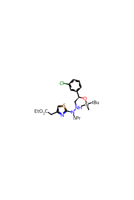 CCCN(NC[C@H](O[Si](C)(C)C(C)(C)C)c1cccc(Cl)c1)c1nc(CC(=O)OCC)cs1